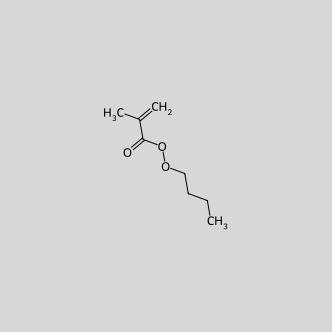 C=C(C)C(=O)OOCCCC